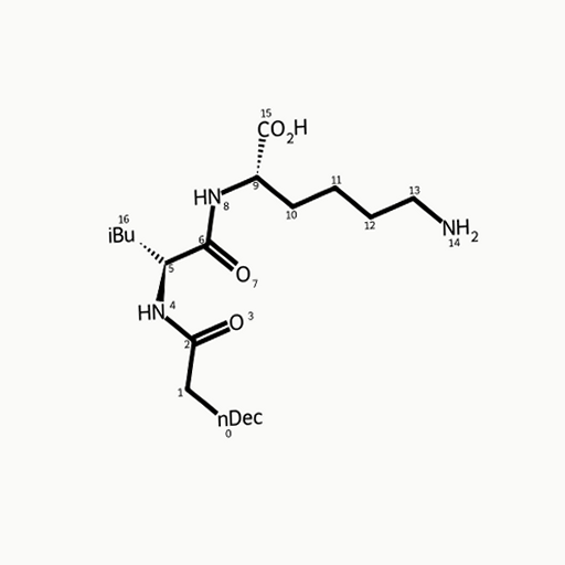 CCCCCCCCCCCC(=O)N[C@H](C(=O)N[C@@H](CCCCN)C(=O)O)[C@@H](C)CC